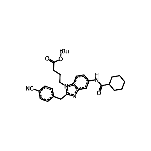 CC(C)(C)OC(=O)CCCn1c(Cc2ccc(C#N)cc2)nc2cc(NC(=O)C3CCCCC3)ccc21